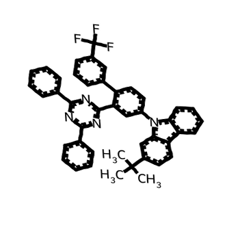 CC(C)(C)c1ccc2c3ccccc3n(-c3ccc(-c4cccc(C(F)(F)F)c4)c(-c4nc(-c5ccccc5)nc(-c5ccccc5)n4)c3)c2c1